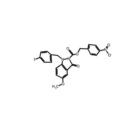 COc1ccc2c(c1)c(=O)n(C(=O)OCc1ccc([N+](=O)[O-])cc1)n2Cc1ccc(F)cc1